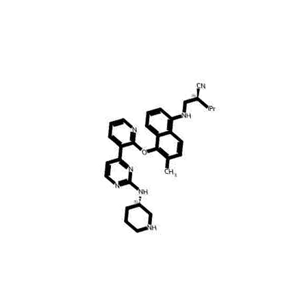 Cc1ccc2c(NC[C@@H](C#N)C(C)C)cccc2c1Oc1ncccc1-c1ccnc(N[C@H]2CCCNC2)n1